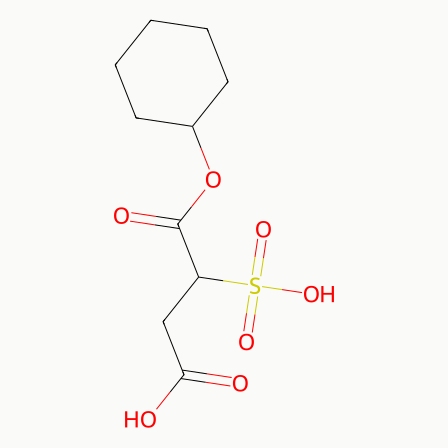 O=C(O)CC(C(=O)OC1CCCCC1)S(=O)(=O)O